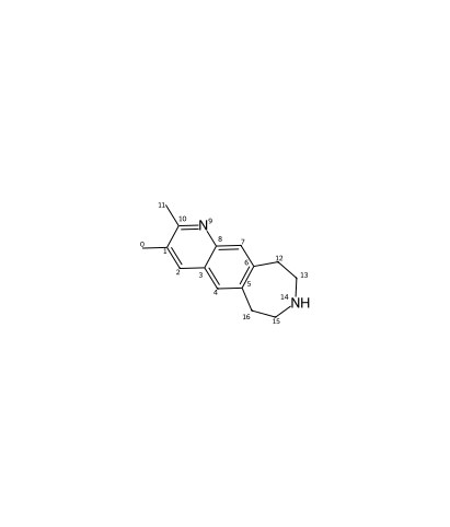 Cc1cc2cc3c(cc2nc1C)CCNCC3